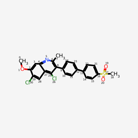 COc1cc2nc(C)c(-c3ccc(-c4ccc(S(C)(=O)=O)cc4)cc3)c(Cl)c2cc1Cl